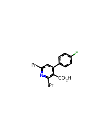 CC(C)c1cc(-c2ccc(F)cc2)c(C(=O)O)c(C(C)C)n1